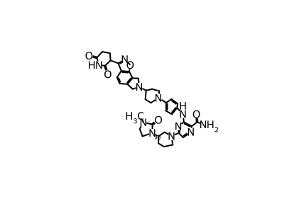 CN1CCN([C@@H]2CCCN(c3cnc(C(N)=O)c(Nc4ccc(N5CCC(N6Cc7ccc8c(C9CCC(=O)NC9=O)noc8c7C6)CC5)cc4)n3)C2)C1=O